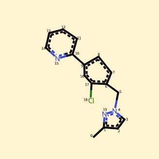 Cc1ccn(Cc2ccc(-c3ccccn3)cc2Cl)n1